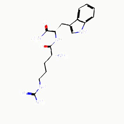 N=C(N)NCCC[C@@H](N)C(=O)N[C@H](Cc1c[nH]c2ccccc12)C(N)=O